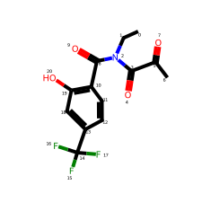 CCN(C(=O)C(C)=O)C(=O)c1ccc(C(F)(F)F)cc1O